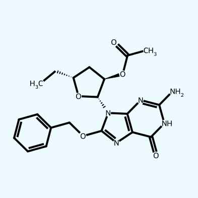 CC[C@@H]1C[C@@H](OC(C)=O)[C@H](n2c(OCc3ccccc3)nc3c(=O)[nH]c(N)nc32)O1